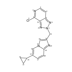 Clc1nccc2nn(Cc3cn4cc(C5CC5)ccc4n3)nc12